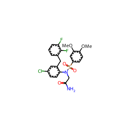 COc1ccc(S(=O)(=O)N(CC(N)=O)c2ccc(Cl)cc2Cc2cccc(F)c2F)cc1OC